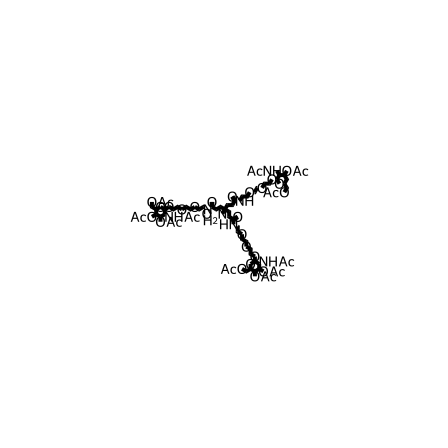 CC(=O)NC1C(OC(C)=O)CC(COC(C)=O)OC1OCCOCCOCCNC(=O)CCC(CCC(=O)NCCOCCOCCOC1OC(COC(C)=O)C(OC(C)=O)C(OC(C)=O)C1NC(C)=O)(CCC(=O)NCCOCCOCCOC1OC(COC(C)=O)C(OC(C)=O)C(OC(C)=O)C1NC(C)=O)[N+](=O)[O-]